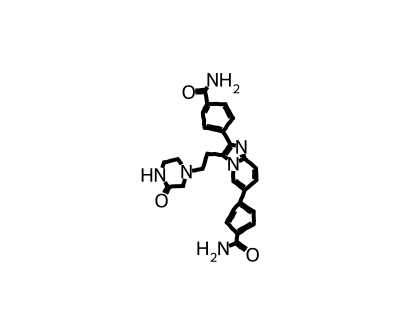 NC(=O)c1ccc(-c2ccc3nc(-c4ccc(C(N)=O)cc4)c(CCN4CCNC(=O)C4)n3c2)cc1